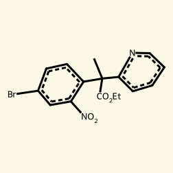 CCOC(=O)C(C)(c1ccccn1)c1ccc(Br)cc1[N+](=O)[O-]